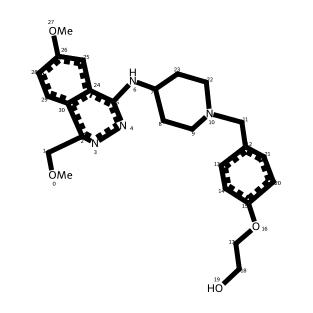 COCc1nnc(NC2CCN(Cc3ccc(OCCO)cc3)CC2)c2cc(OC)ccc12